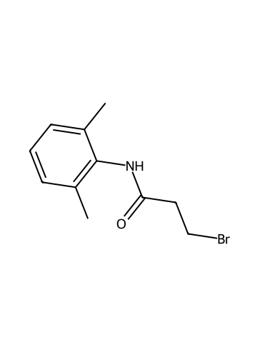 Cc1cccc(C)c1NC(=O)CCBr